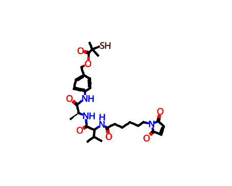 CC(C)C(NC(=O)CCCCCN1C(=O)C=CC1=O)C(=O)N[C@@H](C)C(=O)Nc1ccc(COC(=O)C(C)(C)S)cc1